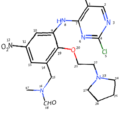 Cc1cnc(Cl)nc1Nc1cc([N+](=O)[O-])cc(CN(C)C=O)c1OCCN1CCCC1